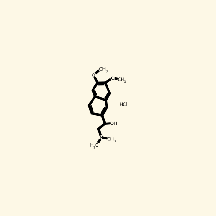 COc1cc2ccc(C(O)CN(C)C)cc2cc1OC.Cl